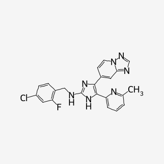 Cc1cccc(-c2[nH]c(NCc3ccc(Cl)cc3F)nc2-c2ccn3ncnc3c2)n1